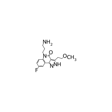 COCCc1[nH]nc2c1c(=O)n(CCCN)c1ccc(F)cc21